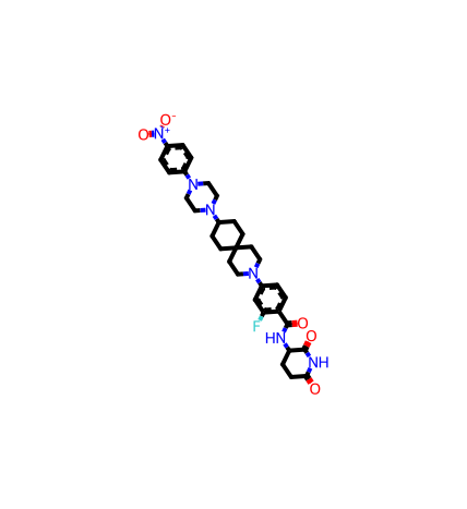 O=C1CCC(NC(=O)c2ccc(N3CCC4(CCC(N5CCN(c6ccc([N+](=O)[O-])cc6)CC5)CC4)CC3)cc2F)C(=O)N1